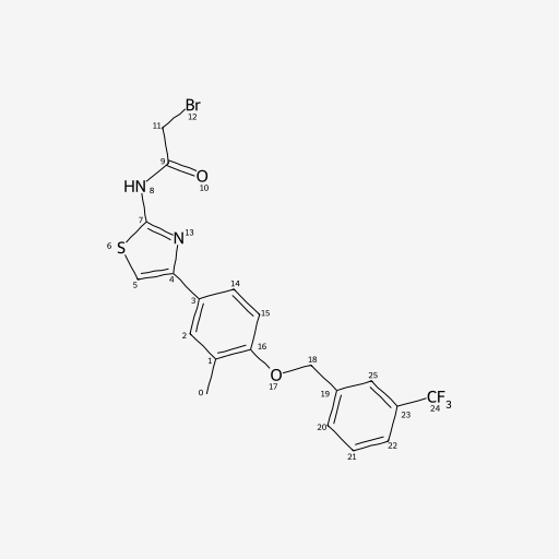 Cc1cc(-c2csc(NC(=O)CBr)n2)ccc1OCc1cccc(C(F)(F)F)c1